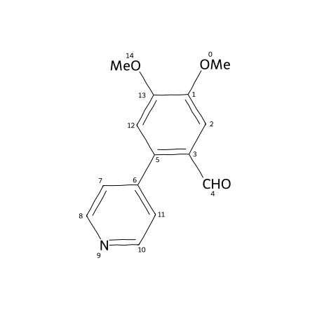 COc1cc(C=O)c(-c2ccncc2)cc1OC